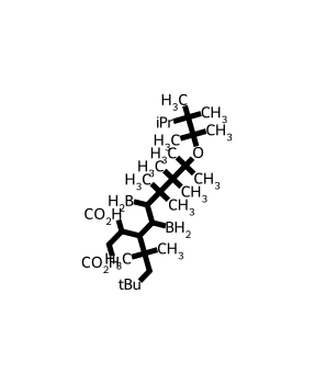 BC(C(C(CC(=O)O)C(=O)O)C(C)(C)CC(C)(C)C)C(B)C(C)(C)C(C)(C)C(C)(C)OC(C)(C)C(C)(C)C(C)C